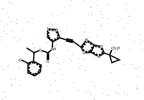 CC(OC(=O)Nc1csnc1C#Cc1nc2oc(C3(C(=O)O)CC3)nc2o1)c1ccccc1Cl